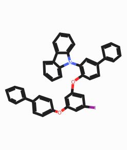 Ic1cc(Oc2ccc(-c3ccccc3)cc2)cc(Oc2ccc(-c3ccccc3)cc2-n2c3ccccc3c3ccccc32)c1